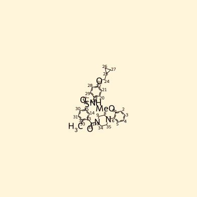 COc1ccccc1N1CCN(C(=O)c2cc([S+]([O-])Nc3ccc(OCC4CC4)cc3)ccc2C)CC1